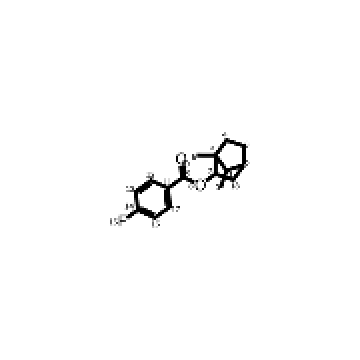 CC1C2CCC1(C)C(OC(=O)c1ccc(F)cc1)C2